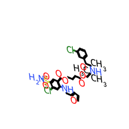 C[C@H](NC(C)(C)COC(=O)CCCOC(=O)c1cc(S(N)(=O)=O)c(Cl)cc1NCc1ccco1)C(=O)c1cccc(Cl)c1